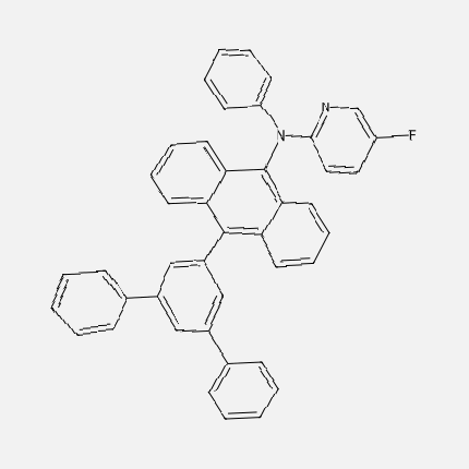 Fc1ccc(N(c2ccccc2)c2c3ccccc3c(-c3cc(-c4ccccc4)cc(-c4ccccc4)c3)c3ccccc23)nc1